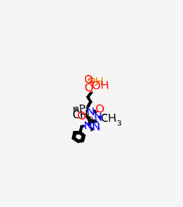 CCCC.Cn1c(=O)n(CCCCO[PH](=O)O)c(=O)c2c1ncn2Cc1ccccc1